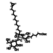 CCCCCCCCCCCCCC[C@@H](O)[C@@H](O)[C@H](COC1OC(CO)C(O)C(O)C1O)NC1(CCCCCCCCCCC2CC2)COC1